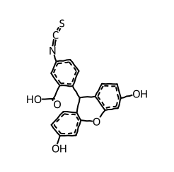 O=C(O)c1cc(N=C=S)ccc1C1c2ccc(O)cc2Oc2cc(O)ccc21